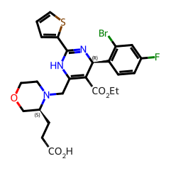 CCOC(=O)C1=C(CN2CCOC[C@@H]2CCC(=O)O)NC(c2cccs2)=N[C@H]1c1ccc(F)cc1Br